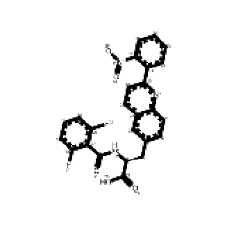 O=C([AsH][C@@H](Cc1ccc2nc(-c3ccccc3[N+](=O)[O-])ccc2c1)C(=O)O)c1c(F)cccc1F